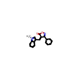 Cn1cc(C=C2C(=O)ON=C2c2ccccc2)c2ccccc21